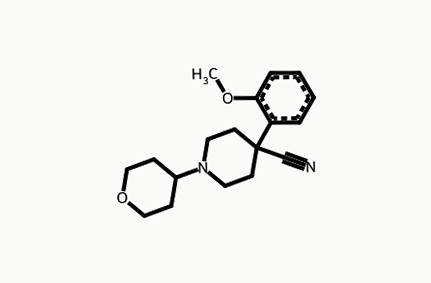 COc1ccccc1C1(C#N)CCN(C2CCOCC2)CC1